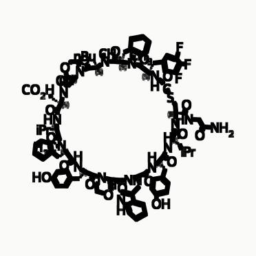 CCCC[C@H]1C(=O)N2CCOC[C@@H]2C(=O)N[C@@H](CC(=O)O)C(=O)N[C@@H](C(C)C)C(=O)N(C)[C@@H](Cc2ccccc2)C(=O)N[C@@H](Cc2ccc(O)cc2)C(=O)N2CCOC[C@@H]2C(=O)N[C@@H](Cc2c[nH]c3ccccc23)C(=O)N[C@@H](Cc2ccc(O)cc2)C(=O)N[C@@H](CC(C)C)C(=O)N[C@H](C(=O)NCC(N)=O)CSCC(=O)N[C@@H](Cc2cc(F)c(F)c(F)c2)C(=O)N(C)[C@@H](Cc2ccccc2)C(=O)N1C